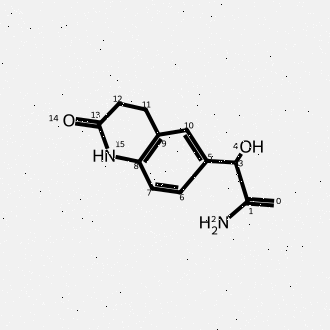 C=C(N)C(O)c1ccc2c(c1)CCC(=O)N2